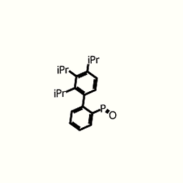 CC(C)c1ccc(-c2ccccc2P=O)c(C(C)C)c1C(C)C